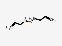 C=CC[SiH2]S[SiH2]CC=C